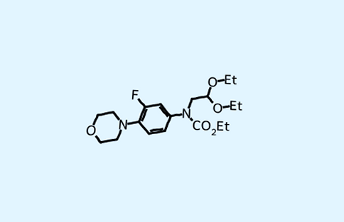 CCOC(=O)N(CC(OCC)OCC)c1ccc(N2CCOCC2)c(F)c1